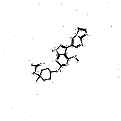 COc1nc(NC2CCC(C)(NC(C)=O)CC2)nc2[nH]cc(-c3cnc4nccn4c3)c12